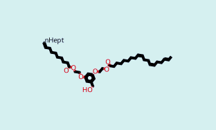 C/C=C/CC/C=C\CC/C=C\CCCCCCCC(=O)OCCOc1cc(CO)cc(OCCOC(=O)CCCCCCC/C=C\CCCCCCC)c1